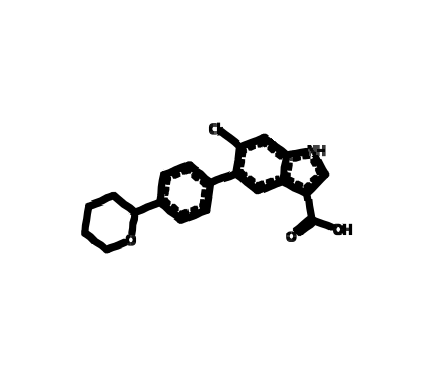 O=C(O)c1c[nH]c2cc(Cl)c(-c3ccc(C4CCCCO4)cc3)cc12